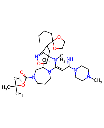 C[C@H]1CN(C(=O)OC(C)(C)C)CCCN1/C(=C/C(=N)N1CCN(C)CC1)N(C)C12CON=C1[C@]1(CCCCC13OCCO3)C2